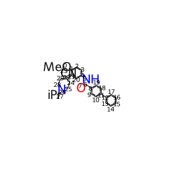 COc1ccc(NC(=O)c2ccc(-c3ccccc3)cc2)cc1C1(C#N)CCN(C(C)C)CC1